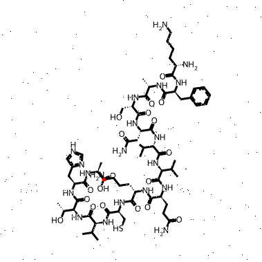 CC(C)[C@H](NC(=O)[C@H](CC(N)=O)NC(=O)[C@H](CO)NC(=O)[C@H](C)NC(=O)[C@H](Cc1ccccc1)NC(=O)[C@@H](N)CCCCN)C(=O)N[C@H](C(=O)N[C@@H](CCC(N)=O)C(=O)N[C@@H](CCCCN)C(=O)N[C@@H](CS)C(=O)N[C@H](C(=O)N[C@H](C(=O)N[C@@H](Cc1c[nH]cn1)C(=O)N[C@@H](C)C(=O)O)[C@@H](C)O)C(C)C)C(C)C